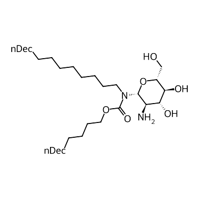 CCCCCCCCCCCCCCCCCCN(C(=O)OCCCCCCCCCCCCCC)[C@@H]1O[C@H](CO)[C@@H](O)[C@H](O)[C@H]1N